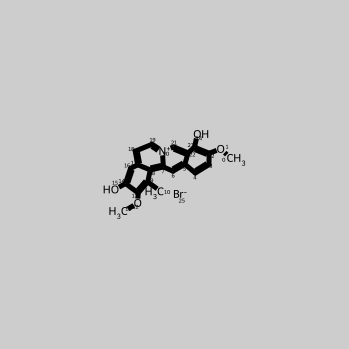 COc1ccc2cc3c4c(C)c(OC)c(O)cc4cc[n+]3cc2c1O.[Br-]